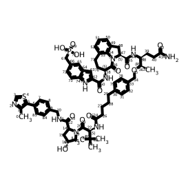 Cc1ncsc1-c1ccc(CNC(=O)C2C[C@@H](O)CN2C(=O)[C@@H](NC(=O)CCCCc2ccc(CO[C@H](C)[C@H](CCC(N)=O)NC(=O)[C@@H]3Cc4cccc5c4N3C(=O)[C@@H](NC(=O)c3cc4cc(CP(=O)(O)O)ccc4[nH]3)CC5)cc2)C(C)(C)C)cc1